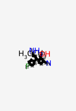 CC(C)(N)C/C=C(\c1ccc(F)cc1)c1ccc(C#N)cc1CO